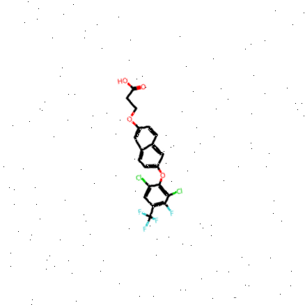 O=C(O)CCOc1ccc2cc(Oc3c(Cl)cc(C(F)(F)F)c(F)c3Cl)ccc2c1